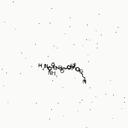 N#CCCCCOc1ccc(C(F)(F)Oc2ccc(C=CC(=O)OCCOC(=O)c3cc(N)cc(N)c3)cc2)cc1